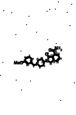 COc1cccc(CN2CCC(N3Cc4cccc(C(N)=O)c4C3=O)CC2)c1